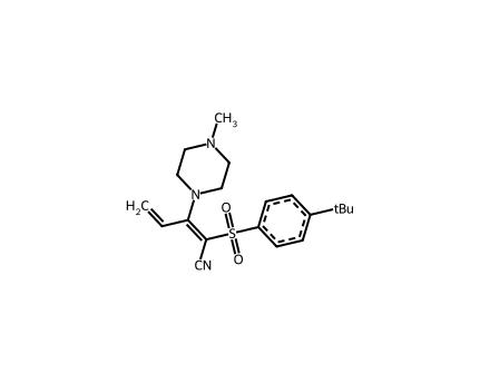 C=CC(=C(C#N)S(=O)(=O)c1ccc(C(C)(C)C)cc1)N1CCN(C)CC1